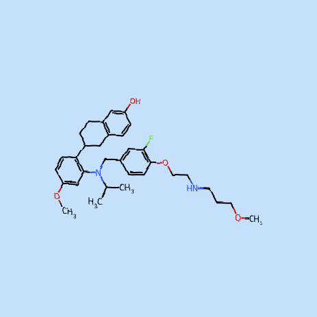 COCCCNCCOc1ccc(CN(c2cc(OC)ccc2C2CCc3cc(O)ccc3C2)C(C)C)cc1F